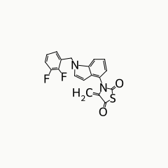 C=C1C(=O)SC(=O)N1c1cccc2c1ccn2Cc1cccc(F)c1F